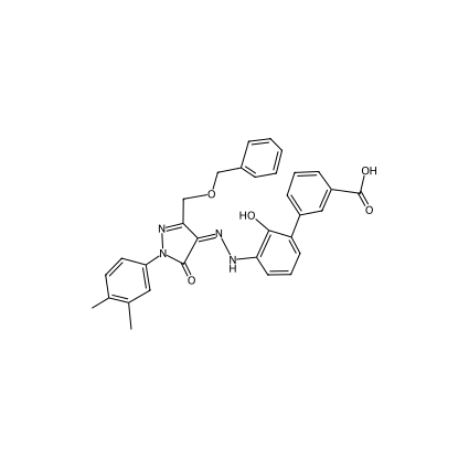 Cc1ccc(N2N=C(COCc3ccccc3)C(=NNc3cccc(-c4cccc(C(=O)O)c4)c3O)C2=O)cc1C